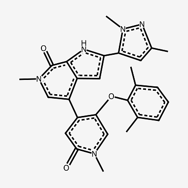 Cc1cc(-c2cc3c(-c4cc(=O)n(C)cc4Oc4c(C)cccc4C)cn(C)c(=O)c3[nH]2)n(C)n1